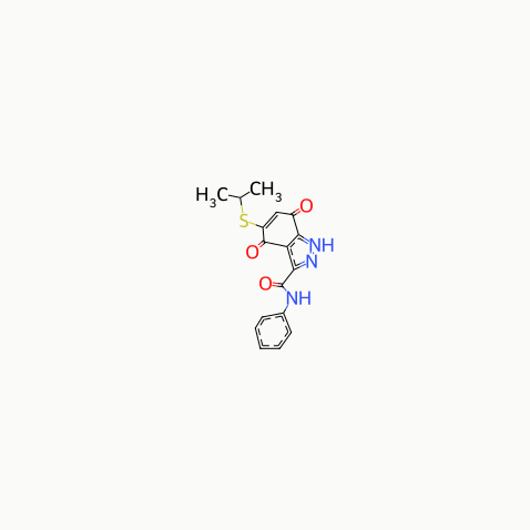 CC(C)SC1=CC(=O)c2[nH]nc(C(=O)Nc3ccccc3)c2C1=O